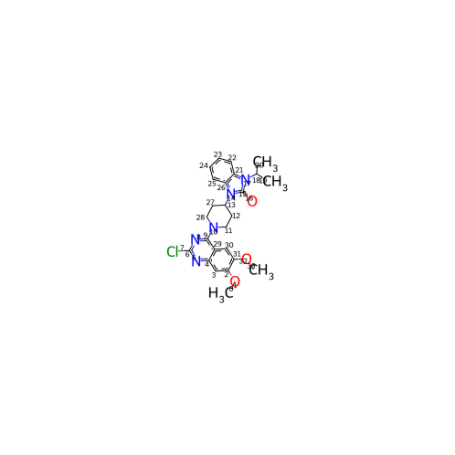 COc1cc2nc(Cl)nc(N3CCC(n4c(=O)n(C(C)C)c5ccccc54)CC3)c2cc1OC